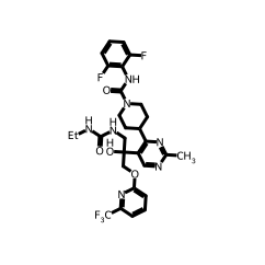 CCNC(=O)NCC(O)(COc1cccc(C(F)(F)F)n1)c1cnc(C)nc1C1CCN(C(=O)Nc2c(F)cccc2F)CC1